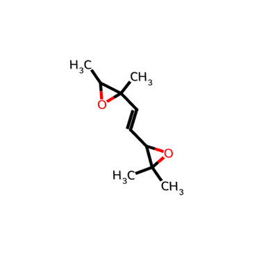 CC1OC1(C)C=CC1OC1(C)C